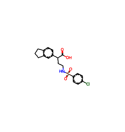 O=C(O)C(CCNS(=O)(=O)c1ccc(Cl)cc1)c1ccc2c(c1)CCC2